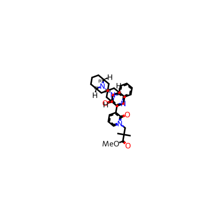 COC(=O)C(C)(C)Cn1cccc(-c2nc3ccccc3n([C@H]3C[C@H]4CCC[C@@H](C3)N4[C@H]3C[C@@H]4CCC[C@@H](C4)C3)c2=O)c1=O